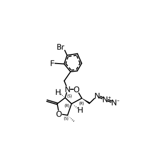 C=C1O[C@@H](C)[C@@H]2[C@H](CN=[N+]=[N-])ON(Cc3cccc(Br)c3F)[C@H]12